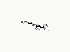 COCCO/N=C(\C)CCC(C)C